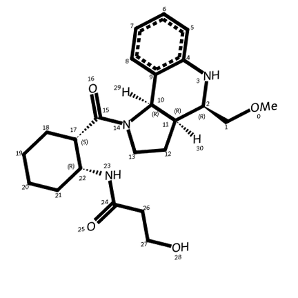 COC[C@@H]1Nc2ccccc2[C@H]2[C@@H]1CCN2C(=O)[C@H]1CCCC[C@H]1NC(=O)CCO